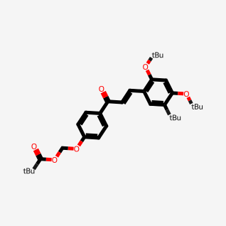 CC(C)(C)Oc1cc(OC(C)(C)C)c(C(C)(C)C)cc1C=CC(=O)c1ccc(OCOC(=O)C(C)(C)C)cc1